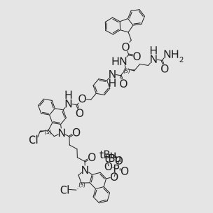 CC(C)(C)OP(=O)(Oc1cc2c(c3ccccc13)[C@H](CCl)CN2C(=O)CCCC(=O)N1C[C@@H](CCl)c2c1cc(NC(=O)OCc1ccc(NC(=O)[C@H](CCCNC(N)=O)NC(=O)OCC3c4ccccc4-c4ccccc43)cc1)c1ccccc21)OC(C)(C)C